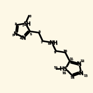 C[SH]1C=NN=C1CCNCCC1=NN=C[SH]1C